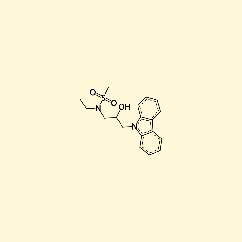 CCN(CC(O)Cn1c2ccccc2c2ccccc21)S(C)(=O)=O